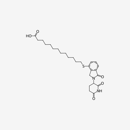 O=C(O)CCCCCCCCCCCCSc1cccc2c1CN(C1CCC(=O)NC1=O)C2=O